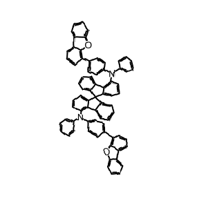 c1ccc(N(c2ccc(-c3cccc4c3oc3ccccc34)cc2)c2cccc3c2-c2ccccc2C32c3ccccc3-c3c(N(c4ccccc4)c4ccc(-c5cccc6c5oc5ccccc56)cc4)cccc32)cc1